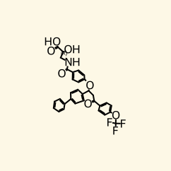 O=C(CC(Oc1ccc(C(=O)NC[C@@H](O)C(=O)O)cc1)c1ccc(-c2ccccc2)cc1)c1ccc(OC(F)(F)F)cc1